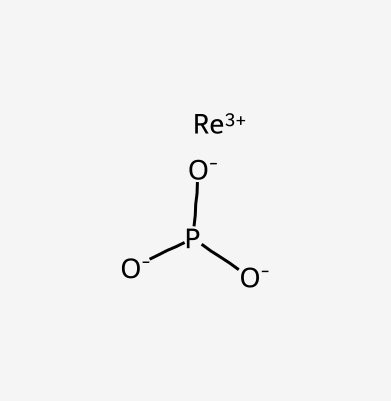 [O-]P([O-])[O-].[Re+3]